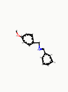 COc1ccc(CN=Cc2ccccc2)cc1